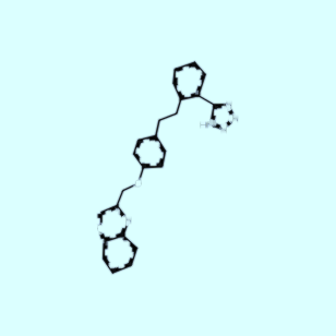 c1ccc(-c2nnn[nH]2)c(CCc2ccc(OCc3ccc4ccccc4n3)cc2)c1